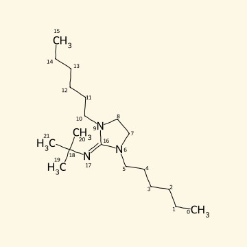 CCCCCCN1CCN(CCCCCC)C1=NC(C)(C)C